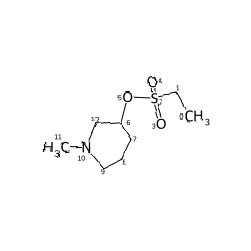 CCS(=O)(=O)OC1CCCN(C)C1